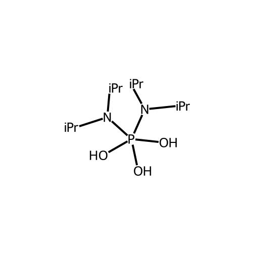 CC(C)N(C(C)C)P(O)(O)(O)N(C(C)C)C(C)C